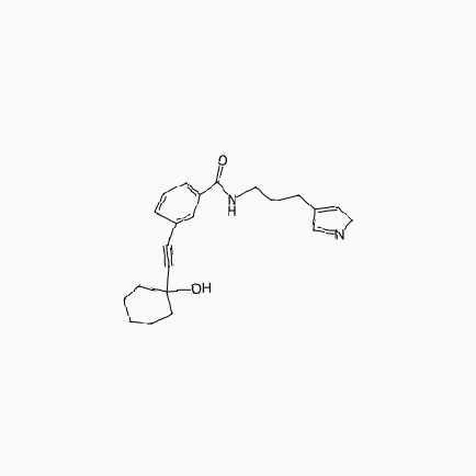 O=C(NCCCC1=CCN=C1)c1cccc(C#CC2(O)CCCCC2)c1